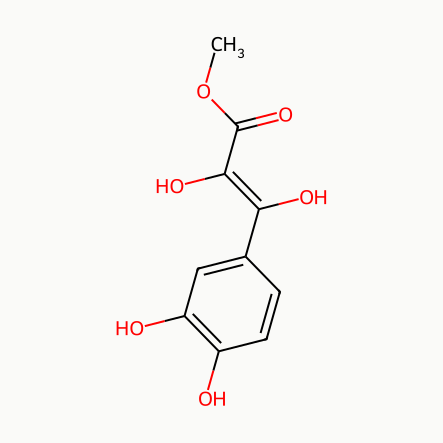 COC(=O)/C(O)=C(\O)c1ccc(O)c(O)c1